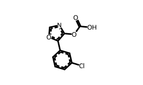 O=C(O)Oc1ncoc1-c1cccc(Cl)c1